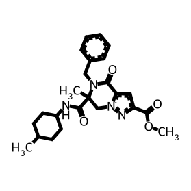 COC(=O)c1cc2n(n1)CC(C)(C(=O)NC1CCC(C)CC1)N(Cc1ccccc1)C2=O